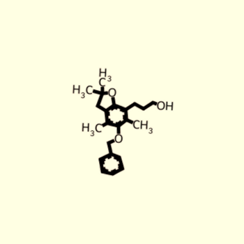 Cc1c(CCCO)c2c(c(C)c1OCc1ccccc1)CC(C)(C)O2